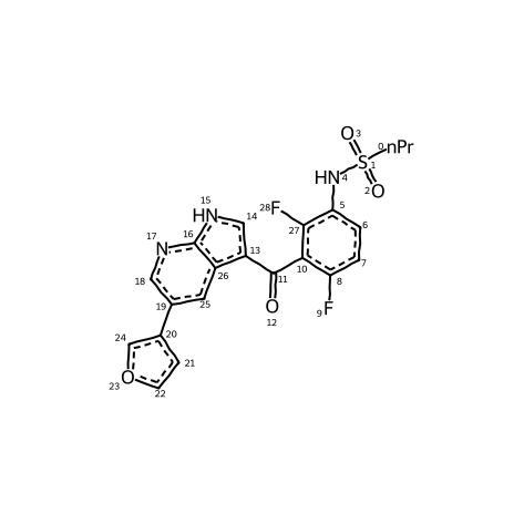 CCCS(=O)(=O)Nc1ccc(F)c(C(=O)c2c[nH]c3ncc(-c4ccoc4)cc23)c1F